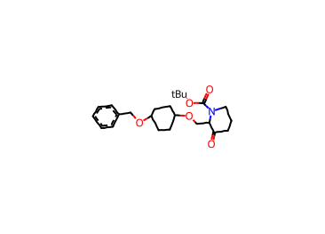 CC(C)(C)OC(=O)N1CCCC(=O)C1COC1CCC(OCc2ccccc2)CC1